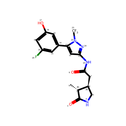 C[C@H]1C(=O)NC[C@@H]1CC(=O)Nc1cc(-c2cc(O)cc(F)c2)n(C(F)(F)F)n1